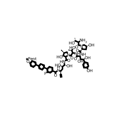 C#C[C@H](C[C@@H](O)[C@@H](O)NC(=O)C1[C@@H](O)[C@@H](C)CN1C(=O)C(NC(=O)C(NC(=O)[C@@H]1C[C@@H](O)CN1C(=O)C(N)[C@@H](C)O)[C@H](O)[C@@H](O)c1ccc(O)cc1)[C@@H](C)O)NC(=O)c1ccc(-c2ccc(-c3ccc(OCCCCC)cc3)cc2)c(F)c1